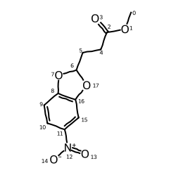 COC(=O)CCC1Oc2ccc([N+](=O)[O-])cc2O1